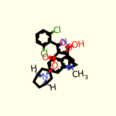 Cn1cc(C(=O)O)c2ccc(N3[C@@H]4CC[C@H]3C[C@H](OC(=O)c3c(-c5c(Cl)cccc5Cl)noc3C3CC3)C4)cc21